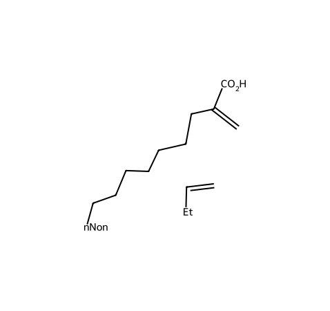 C=C(CCCCCCCCCCCCCCCC)C(=O)O.C=CCC